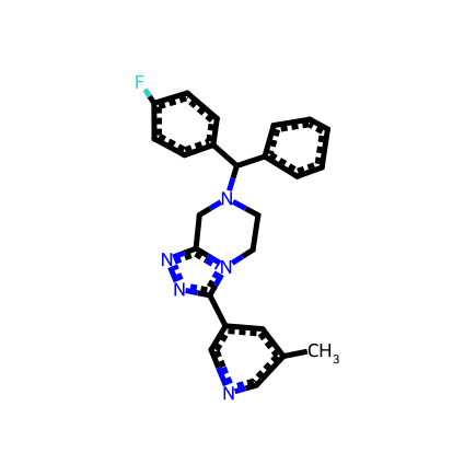 Cc1cncc(-c2nnc3n2CCN(C(c2ccccc2)c2ccc(F)cc2)C3)c1